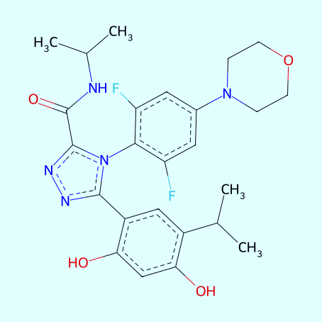 CC(C)NC(=O)c1nnc(-c2cc(C(C)C)c(O)cc2O)n1-c1c(F)cc(N2CCOCC2)cc1F